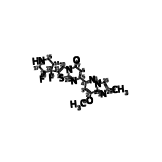 COc1cc(-c2cc(=O)n3cc([C@@]4(F)CCNC[C@@H]4F)sc3n2)nn2cc(C)nc12